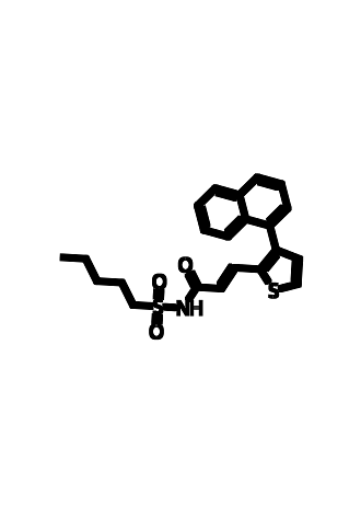 CCCCCS(=O)(=O)NC(=O)C=Cc1sccc1-c1cccc2ccccc12